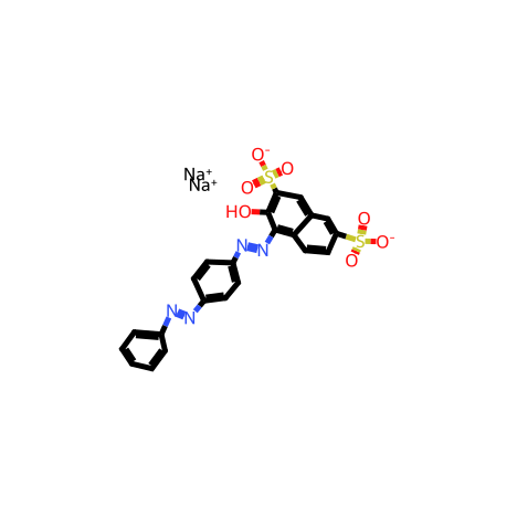 O=S(=O)([O-])c1ccc2c(/N=N/c3ccc(/N=N/c4ccccc4)cc3)c(O)c(S(=O)(=O)[O-])cc2c1.[Na+].[Na+]